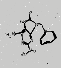 CCC(C)[S+]([O-])c1nc(N)c2[nH]c(=O)n(Cc3ccccc3)c2n1